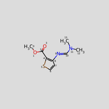 COC(=O)c1sccc1N=CN(C)C